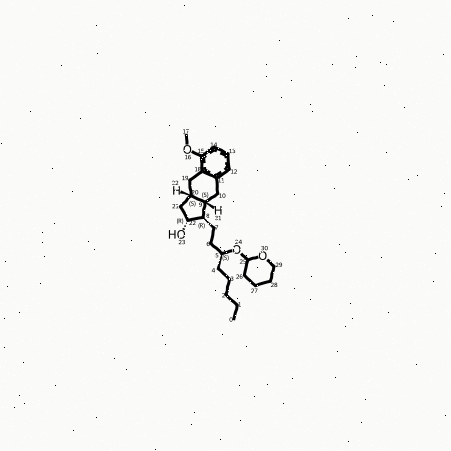 CCCCC[C@@H](CC[C@@H]1[C@H]2Cc3cccc(OC)c3C[C@H]2C[C@H]1O)OC1CCCCO1